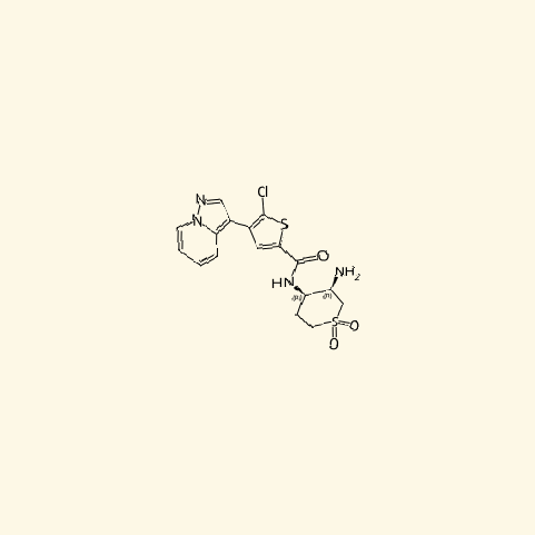 N[C@H]1CS(=O)(=O)CC[C@H]1NC(=O)c1cc(-c2cnn3ccccc23)c(Cl)s1